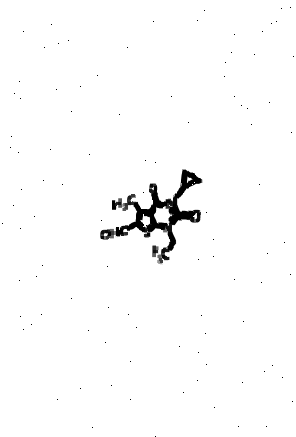 Cc1c(C=O)sc2c1c(=O)n(C1CC1)c(=O)n2CC(F)(F)F